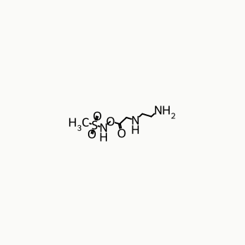 CS(=O)(=O)NOC(=O)CNCCN